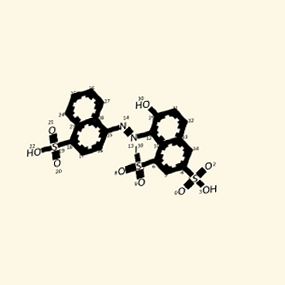 O=S(=O)(O)c1cc(S(=O)(=O)I)c2c(/N=N/c3ccc(S(=O)(=O)O)c4ccccc34)c(O)ccc2c1